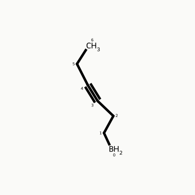 BCCC#CCC